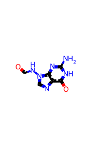 Nc1nc2c(ncn2NC=O)c(=O)[nH]1